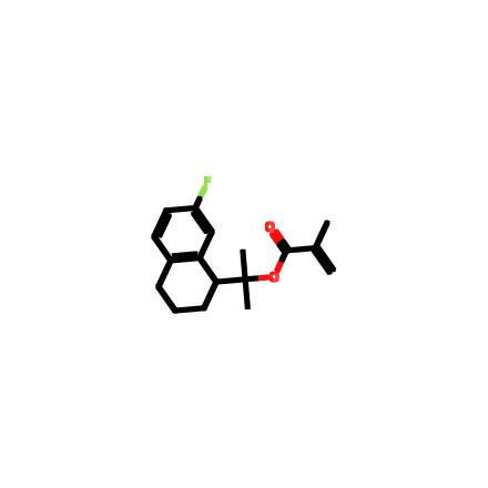 C=C(C)C(=O)OC(C)(C)C1CCCc2ccc(F)cc21